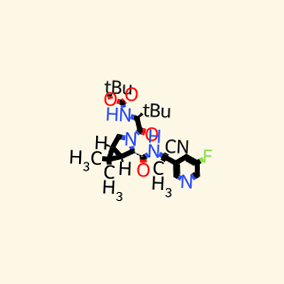 CC(C)(C)OC(=O)N[C@H](C(=O)N1C[C@H]2[C@@H]([C@H]1C(=O)NC(C)(C#N)c1cncc(F)c1)C2(C)C)C(C)(C)C